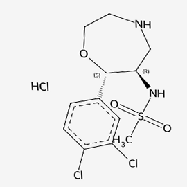 CS(=O)(=O)N[C@@H]1CNCCO[C@H]1c1ccc(Cl)c(Cl)c1.Cl